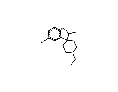 CCN1CCC(c2cccc(Cl)c2)(C(C)O)CC1